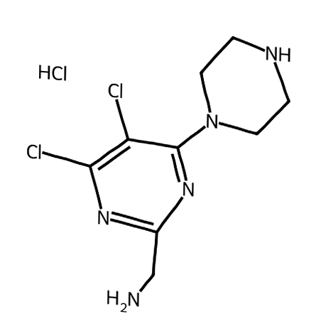 Cl.NCc1nc(Cl)c(Cl)c(N2CCNCC2)n1